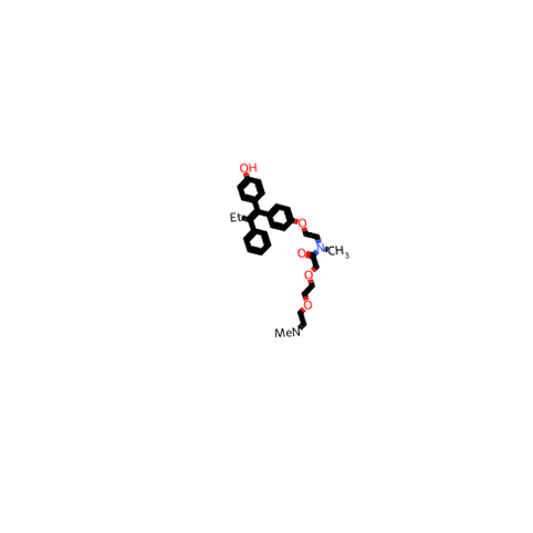 CC/C(=C(\c1ccc(O)cc1)c1ccc(OCCN(C)C(=O)COCCOCCNC)cc1)c1ccccc1